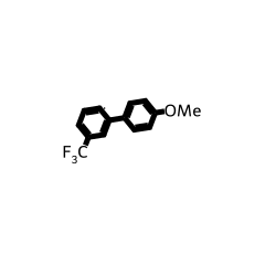 COc1ccc(-c2[c]ccc(C(F)(F)F)c2)cc1